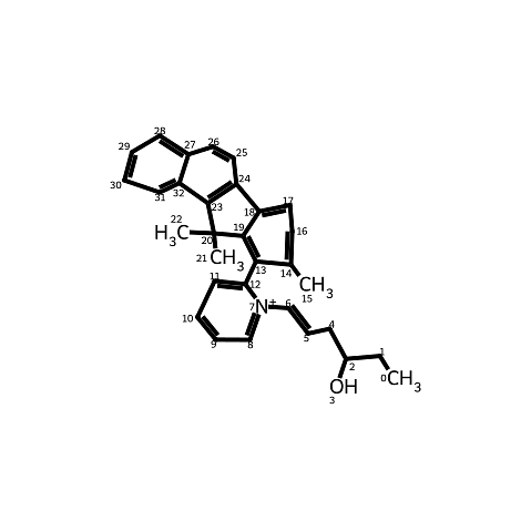 CCC(O)C/C=C/[n+]1ccccc1-c1c(C)ccc2c1C(C)(C)c1c-2ccc2ccccc12